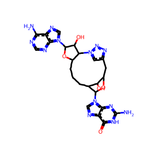 Nc1nc2c(ncn2C2OC3Cc4cn(nn4)C4C(CCCC2C3O)OC(n2cnc3c(N)ncnc32)C4O)c(=O)[nH]1